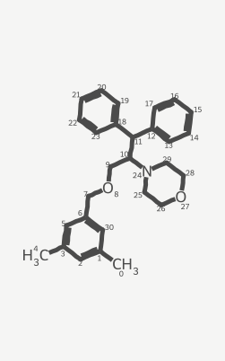 Cc1cc(C)cc(COCC(C(c2ccccc2)c2ccccc2)N2CCOCC2)c1